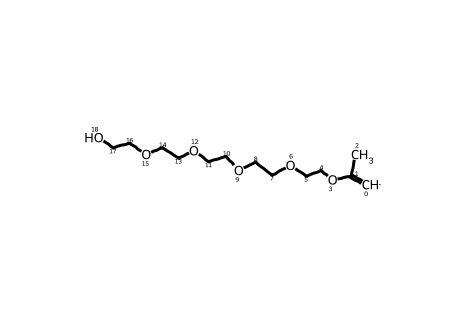 [CH]=C(C)OCCOCCOCCOCCOCCO